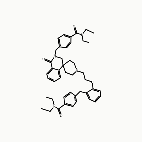 CCN(CC)C(=O)c1ccc(Cc2ccccc2OCCN2CCC3(CC2)CN(Cc2ccc(C(=O)N(CC)CC)cc2)C(=O)c2ccccc23)cc1